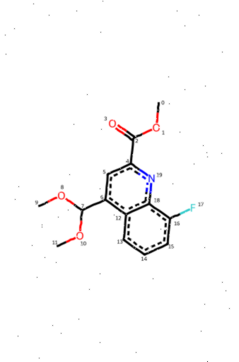 COC(=O)c1cc(C(OC)OC)c2cccc(F)c2n1